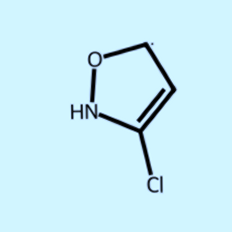 ClC1=C[CH]ON1